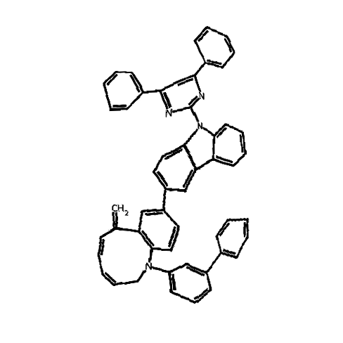 C=C1/C=C\C=C/CN(c2cccc(-c3ccccc3)c2)c2ccc(-c3ccc4c(c3)c3ccccc3n4-c3nc(-c4ccccc4)cc(-c4ccccc4)n3)cc21